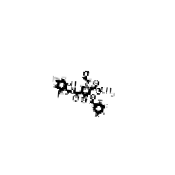 COC(=O)c1c(OCc2ccccc2)c(=O)c(C(=O)NCc2ccc(F)cc2F)cn1CC=O